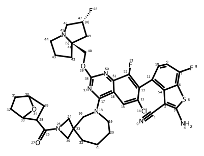 N#Cc1c(N)sc2c(F)ccc(-c3c(Cl)cc4c(N5CCCCC6(CN(C(=O)C7CC8CCC7O8)C6)C5)nc(OC[C@@]56CCCN5C[C@H](F)C6)nc4c3F)c12